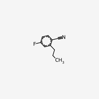 CCCc1cc(F)ccc1C#N